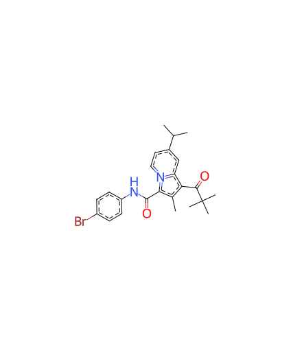 Cc1c(C(=O)C(C)(C)C)c2cc(C(C)C)ccn2c1C(=O)Nc1ccc(Br)cc1